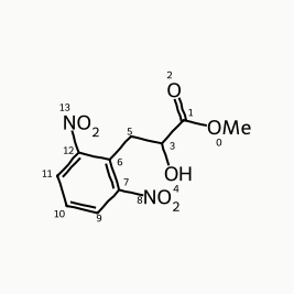 COC(=O)C(O)Cc1c([N+](=O)[O-])cccc1[N+](=O)[O-]